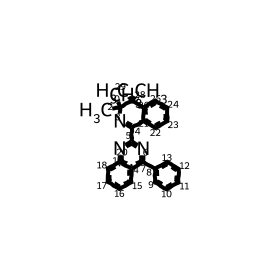 CC1(C)N=C(c2nc(-c3ccccc3)c3ccccc3n2)c2ccccc2C1(C)C